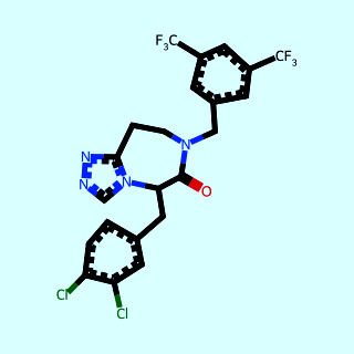 O=C1C(Cc2ccc(Cl)c(Cl)c2)n2cnnc2CCN1Cc1cc(C(F)(F)F)cc(C(F)(F)F)c1